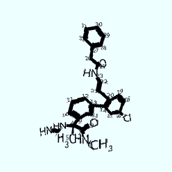 CNC(=O)[C@](C)(NC=N)c1cccc(-c2cc(Cl)ccc2CCNC(=O)Cc2ccccc2)c1